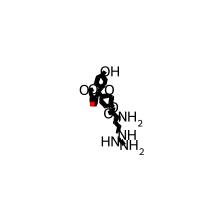 N=C(N)NCCC[C@H](N)C(=O)Oc1ccc2c(c1)Oc1cc(O)ccc1C21OC(=O)c2ccccc21